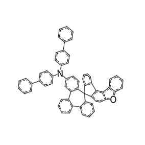 c1ccc(-c2ccc(N(c3ccc(-c4ccccc4)cc3)c3ccc4c(c3)-c3ccccc3-c3ccccc3C43c4ccccc4-c4c3ccc3oc5ccccc5c43)cc2)cc1